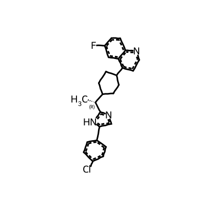 C[C@@H](c1ncc(-c2ccc(Cl)cc2)[nH]1)C1CCC(c2ccnc3ccc(F)cc23)CC1